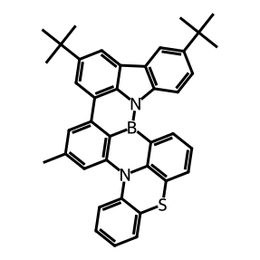 Cc1cc2c3c(c1)N1c4ccccc4Sc4cccc(c41)B3n1c3ccc(C(C)(C)C)cc3c3cc(C(C)(C)C)cc-2c31